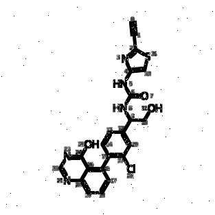 C#Cc1nc(NC(=O)NC(CO)c2ccc(-c3cccc4ncnc(O)c34)c(Cl)c2)cs1